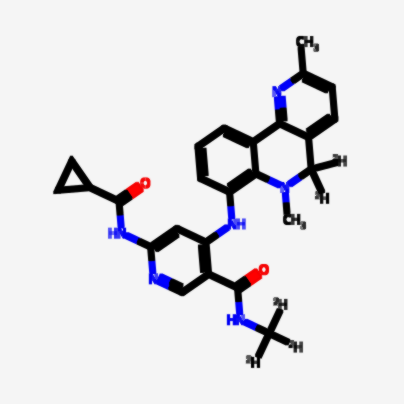 [2H]C([2H])([2H])NC(=O)c1cnc(NC(=O)C2CC2)cc1Nc1cccc2c1N(C)C([2H])([2H])c1ccc(C)nc1-2